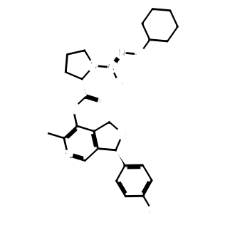 Cc1ncc2c(c1OC(=O)[C@@H]1CCCN1/[N+]([O-])=N/OC1CCCCC1)CO[C@H]2c1ccc(Cl)cc1